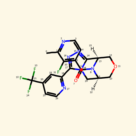 Cc1nccc(C(=O)N2[C@H]3COC[C@@H]2c2nnc(-c4cc(C(F)(F)F)ccn4)n2C3)c1F